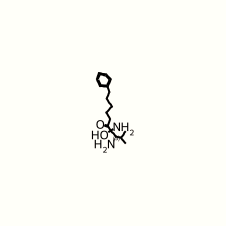 CC(C)[C@H](N)C(N)(O)C(=O)CCCCCc1ccccc1